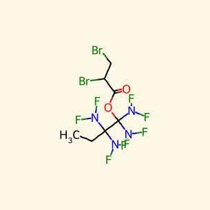 CCC(N(F)F)(N(F)F)C(OC(=O)C(Br)CBr)(N(F)F)N(F)F